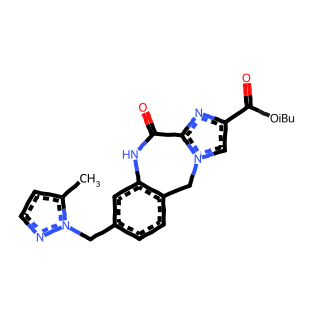 Cc1ccnn1Cc1ccc2c(c1)NC(=O)c1nc(C(=O)OCC(C)C)cn1C2